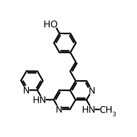 CNc1ncc(C=Cc2ccc(O)cc2)c2cc(Nc3ccccn3)ncc12